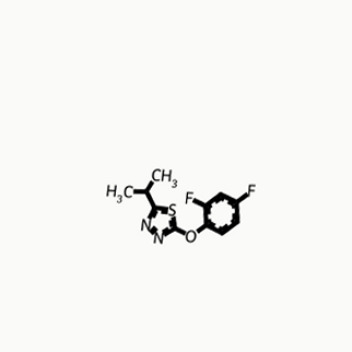 CC(C)c1nnc(Oc2ccc(F)cc2F)s1